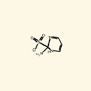 NC1(S(=O)(=O)Cl)N=CC=CN1